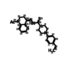 C=Cc1ccc(N2CCN(C(=S)N/N=C3/CCN(C(C)=O)c4cccnc43)CC2)cc1